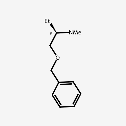 CC[C@H](COCc1ccccc1)NC